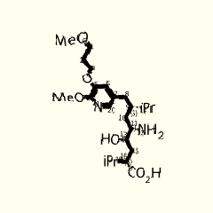 COCCCOc1cc(C[C@@H](C[C@H](N)[C@@H](O)C[C@H](C(=O)O)C(C)C)C(C)C)cnc1OC